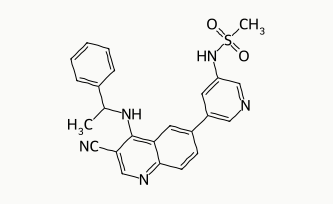 CC(Nc1c(C#N)cnc2ccc(-c3cncc(NS(C)(=O)=O)c3)cc12)c1ccccc1